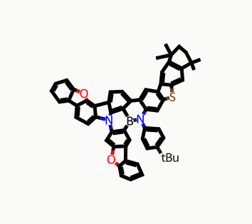 CC(C)(C)c1ccc(N2B3c4cc5c(cc4-n4c6ccc7c8ccccc8oc7c6c6ccc(c3c64)-c3cc4c(cc32)sc2cc3c(cc24)C(C)(C)CCC3(C)C)oc2ccccc25)cc1